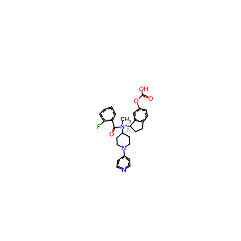 C[N+](C(=O)c1ccccc1F)(C1CCN(c2ccncc2)CC1)[C@@H]1CCc2ccc(OC(=O)O)cc21